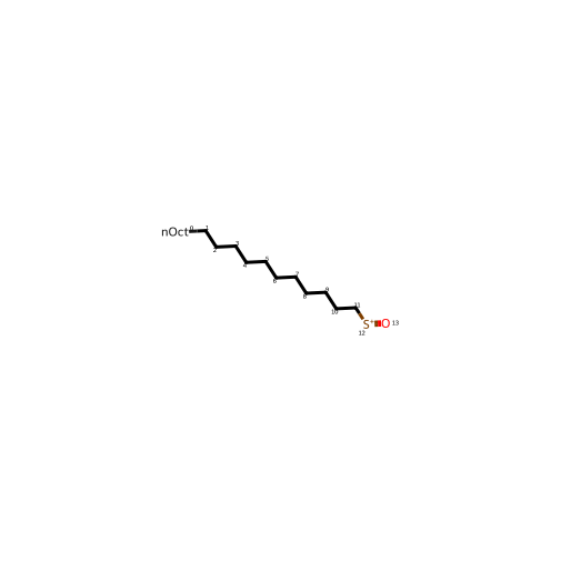 CCCCCCCCCCCCCCCCCCC[S+]=O